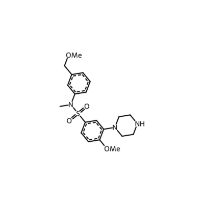 COCc1cccc(N(C)S(=O)(=O)c2ccc(OC)c(N3CCNCC3)c2)c1